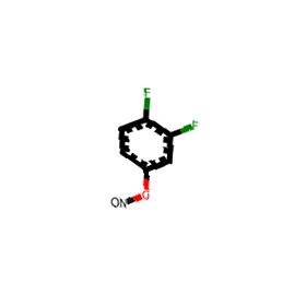 O=NOc1ccc(F)c(F)c1